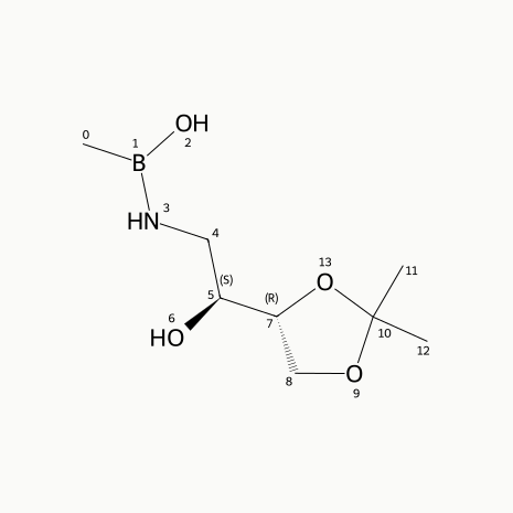 CB(O)NC[C@H](O)[C@H]1COC(C)(C)O1